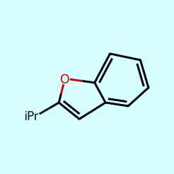 CC(C)c1cc2ccccc2o1